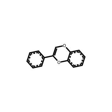 C1=C(c2ccccc2)Oc2ccccc2O1